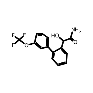 NC(=O)C(O)c1ccccc1-c1cccc(OC(F)(F)F)c1